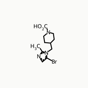 Cc1ncc(Br)n1CC1CCN(C(=O)O)CC1